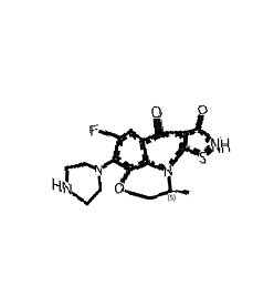 C[C@H]1COc2c(N3CCNCC3)c(F)cc3c(=O)c4c(=O)[nH]sc4n1c23